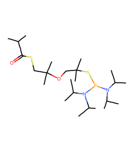 CC(C)C(=O)SCC(C)(C)OCC(C)(C)SP(N(C(C)C)C(C)C)N(C(C)C)C(C)C